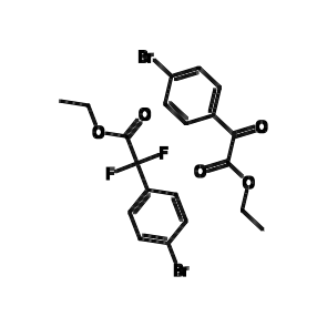 CCOC(=O)C(=O)c1ccc(Br)cc1.CCOC(=O)C(F)(F)c1ccc(Br)cc1